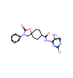 Nc1cnc(Cl)nc1NC(=O)C1CCC2(CC1)CN(c1ccccc1)C(=O)O2